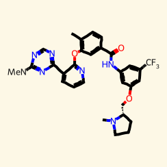 CNc1ncnc(-c2cccnc2Oc2cc(C(=O)Nc3cc(OC[C@@H]4CCCN4C)cc(C(F)(F)F)c3)ccc2C)n1